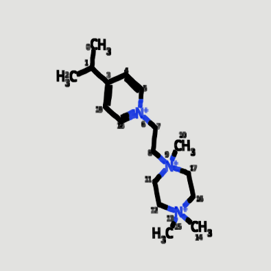 CC(C)c1cc[n+](CC[N+]2(C)CC[N+](C)(C)CC2)cc1